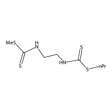 CCCSC(=S)NCCNC(=S)SC